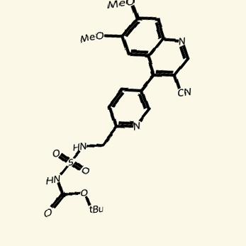 COc1cc2ncc(C#N)c(-c3ccc(CNS(=O)(=O)NC(=O)OC(C)(C)C)nc3)c2cc1OC